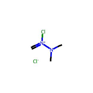 C=[N+](Cl)N(C)C.[Cl-]